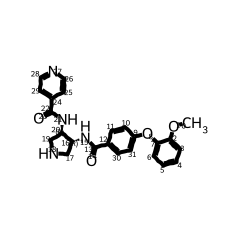 COc1ccccc1Oc1ccc(C(=O)N[C@@H]2CNC[C@H]2NC(=O)c2ccncc2)cc1